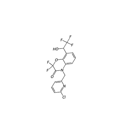 O=C1N(Cc2cccc(Cl)n2)c2cccc(C(O)C(F)(F)F)c2OC1(F)F